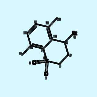 CCC1CCS(=O)(=O)c2c(C)ccc(C)c21